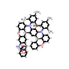 Cc1cc(C)c(N2c3cc4c(cc3B3c5ccccc5Oc5cccc2c53)B2c3cc5c(cc3Oc3cccc(c32)N4c2c(C)cc(C)cc2C)Nc2cccc3c2B5c2ccccc2O3)c(C)c1